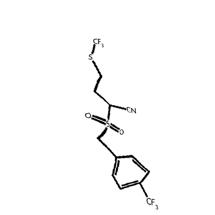 N#CC(CCSC(F)(F)F)S(=O)(=O)Cc1ccc(C(F)(F)F)cc1